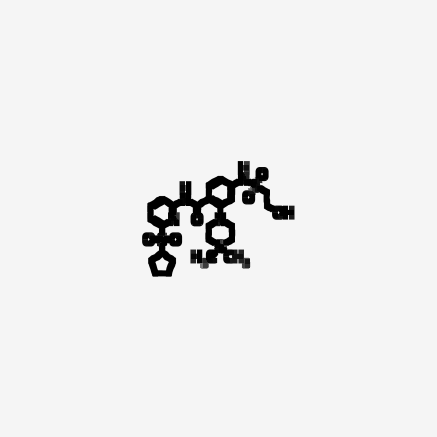 C[Si]1(C)CCN(c2cc(NS(=O)(=O)CCO)ccc2C(=O)Nc2cccc(S(=O)(=O)C3CCCC3)n2)CC1